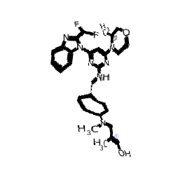 C/C(=C\O)CN(C)[C@H]1CC[C@H](CNc2nc(N3CCOC[C@@H]3C)cc(-n3c(C(F)F)nc4ccccc43)n2)CC1